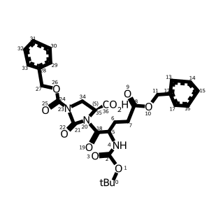 CC(C)(C)OC(=O)NC(CCC(=O)OCc1ccccc1)C(=O)N1C(=O)N(C(=O)OCc2ccccc2)C[C@H]1C(=O)O